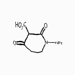 CCCN1CCC(=O)C(C(=O)O)C1=O